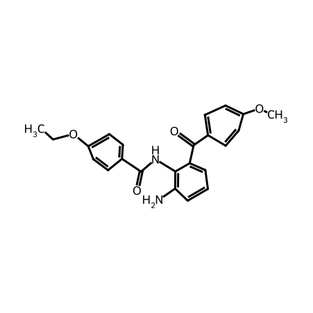 CCOc1ccc(C(=O)Nc2c(N)cccc2C(=O)c2ccc(OC)cc2)cc1